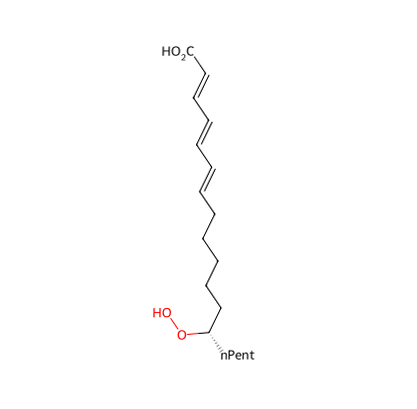 CCCCC[C@@H](CCCCCC=CC=CC=CC(=O)O)OO